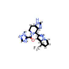 Cn1ncnc1C(=O)N1CCc2[nH]cnc2C1c1cc2c(C(F)(F)F)cccn2n1